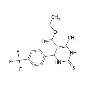 CCOC(=O)C1=C(C)NC(=S)NC1c1ccc(C(F)(F)F)cc1